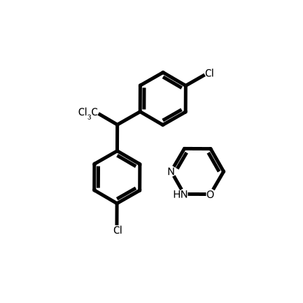 C1=CONN=C1.Clc1ccc(C(c2ccc(Cl)cc2)C(Cl)(Cl)Cl)cc1